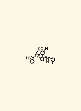 Cc1cccc(CNC(=O)c2ccccc2-c2ccccc2C(=O)N(CCC(=O)O)CCc2c[nH]c3ccccc23)c1